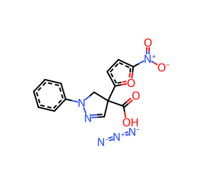 O=C(O)C1(c2ccc([N+](=O)[O-])o2)C=NN(c2ccccc2)C1.[N-]=[N+]=[N-]